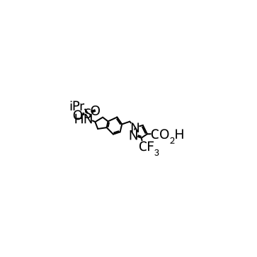 CC(C)S(=O)(=O)NC1Cc2ccc(Cn3cc(C(=O)O)c(C(F)(F)F)n3)cc2C1